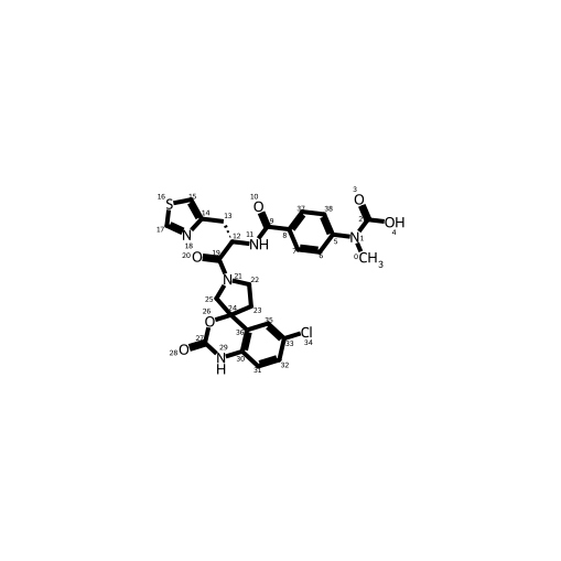 CN(C(=O)O)c1ccc(C(=O)N[C@@H](Cc2cscn2)C(=O)N2CCC3(C2)OC(=O)Nc2ccc(Cl)cc23)cc1